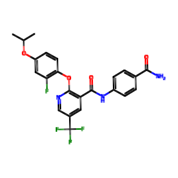 CC(C)Oc1ccc(Oc2ncc(C(F)(F)F)cc2C(=O)Nc2ccc(C(N)=O)cc2)c(F)c1